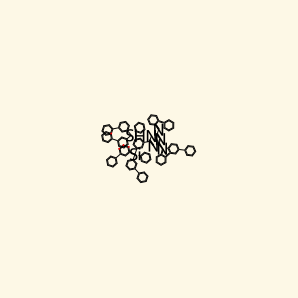 c1ccc(-c2cccc([Si](c3ccccc3)(c3cccc(-c4ccccc4)c3)c3cc(C4=NC(n5c6ccccc6c6cc(-c7ccccc7)ccc65)=NC(n5c6ccccc6c6ccccc65)N4)cc([Si](c4ccccc4)(c4cccc(-c5ccccc5)c4)c4cccc(-c5ccccc5)c4)c3)c2)cc1